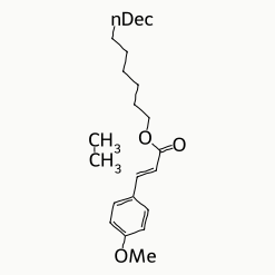 CC.CCCCCCCCCCCCCCCCOC(=O)C=Cc1ccc(OC)cc1